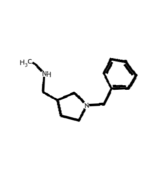 CNCC1CCN(Cc2ccccc2)C1